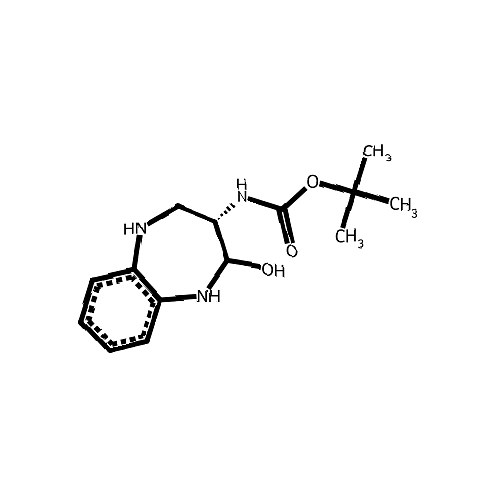 CC(C)(C)OC(=O)N[C@H]1CNc2ccccc2NC1O